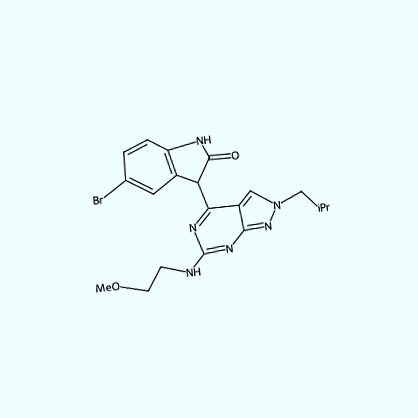 COCCNc1nc(C2C(=O)Nc3ccc(Br)cc32)c2cn(CC(C)C)nc2n1